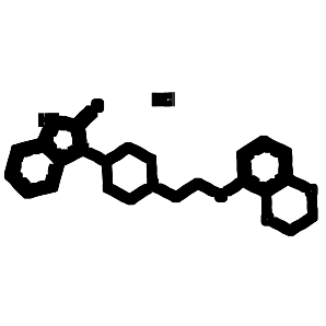 Cl.O=c1[nH]c2ccccc2n1C1CCN(CCOc2cccc3c2OCCO3)CC1